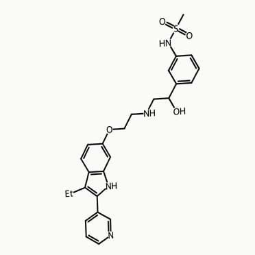 CCc1c(-c2cccnc2)[nH]c2cc(OCCNCC(O)c3cccc(NS(C)(=O)=O)c3)ccc12